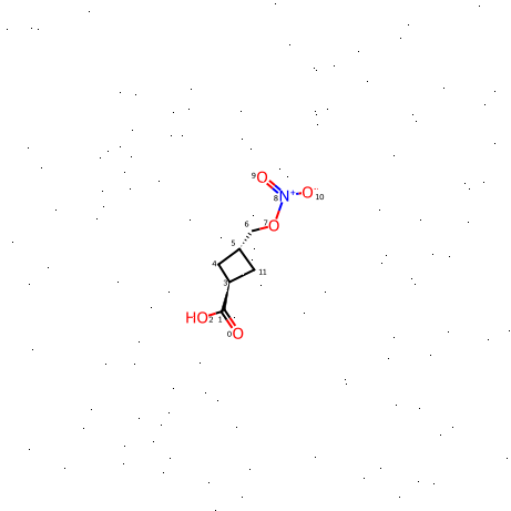 O=C(O)[C@H]1C[C@H](CO[N+](=O)[O-])C1